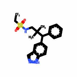 CC(C)(CNS(=O)(=O)CC(F)(F)F)C(c1ccccc1)c1ccc2[nH]ncc2c1